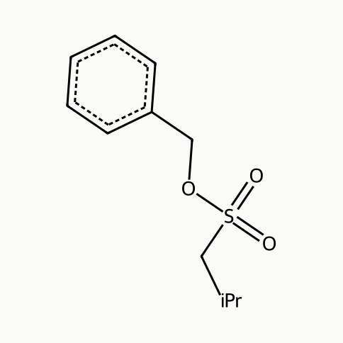 CC(C)CS(=O)(=O)OCc1ccccc1